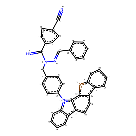 N#Cc1ccc(C(=N)N(Cc2ccc(-n3c4ccccc4c4ccc5c6ccccc6sc5c43)cc2)/N=C/c2ccccc2)cc1